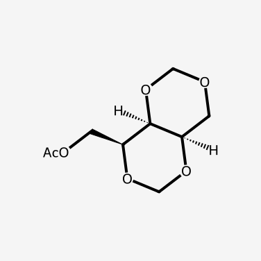 CC(=O)OC[C@@H]1OCO[C@@H]2COCO[C@H]12